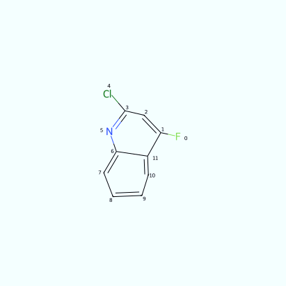 Fc1cc(Cl)nc2ccccc12